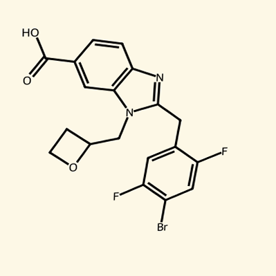 O=C(O)c1ccc2nc(Cc3cc(F)c(Br)cc3F)n(CC3CCO3)c2c1